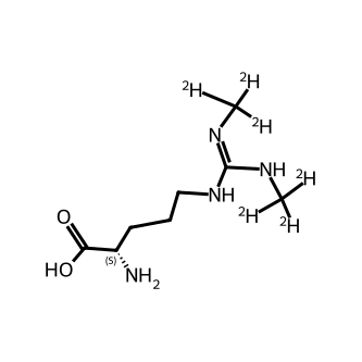 [2H]C([2H])([2H])N=C(NCCC[C@H](N)C(=O)O)NC([2H])([2H])[2H]